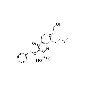 CCn1c(C(CCSC)OCCO)nc(C(=O)O)c(OCc2ccccc2)c1=O